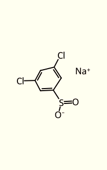 O=S([O-])c1cc(Cl)cc(Cl)c1.[Na+]